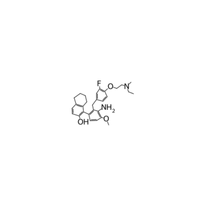 CCN(C)CCOc1ccc(Cc2c(-c3c(O)ccc4c3CCCC4)ccc(OC)c2N)cc1F